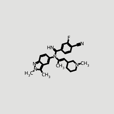 C/C(=C\C1CCCN(C)C1)N(C(=N)c1ccc(C#N)c(F)c1)c1ccc2nn(C)c(C)c2c1